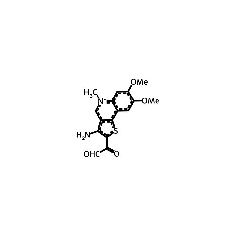 COc1cc2c3sc(C(=O)C=O)c(N)c3c[n+](C)c2cc1OC